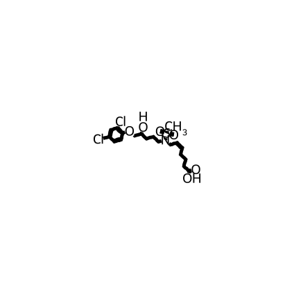 CS(=O)(=O)N(C/C=C\CCCC(=O)O)CCCC(O)COc1ccc(Cl)cc1Cl